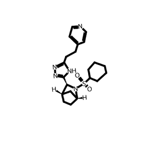 O=S(=O)(C1CCCCC1)N1[C@@H]2CC[C@@H](C2)[C@H]1c1nnc(CCc2ccncc2)[nH]1